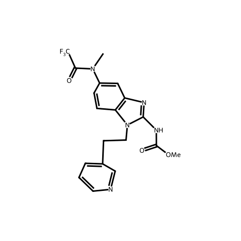 COC(=O)Nc1nc2cc(N(C)C(=O)C(F)(F)F)ccc2n1CCc1cccnc1